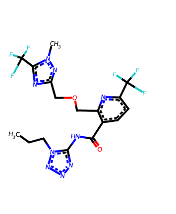 CCCn1nnnc1NC(=O)c1ccc(C(F)(F)F)nc1COCc1nc(C(F)(F)F)n(C)n1